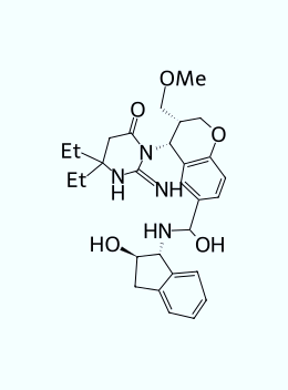 CCC1(CC)CC(=O)N([C@H]2c3cc(C(O)N[C@@H]4c5ccccc5C[C@H]4O)ccc3OC[C@H]2COC)C(=N)N1